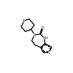 O=C1Nc2cscc2CCN1C1CC[N]CC1